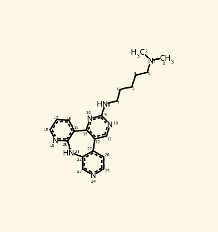 CN(C)CCCCCNc1ncc2c(n1)-c1cccnc1Nc1cnccc1-2